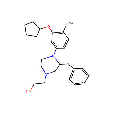 COc1ccc(N2CCN(CCO)CC2Cc2ccccc2)cc1OC1CCCC1